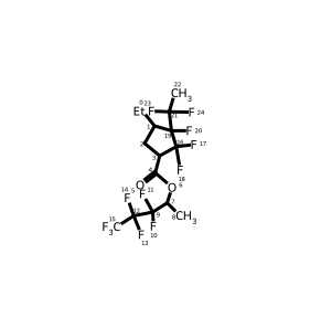 CCC1CC(C(=O)OC(C)C(F)(F)C(F)(F)C(F)(F)F)C(F)(F)C1(F)C(C)(F)F